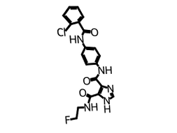 O=C(Nc1ccc(NC(=O)c2nc[nH]c2C(=O)NCCF)cc1)c1ccccc1Cl